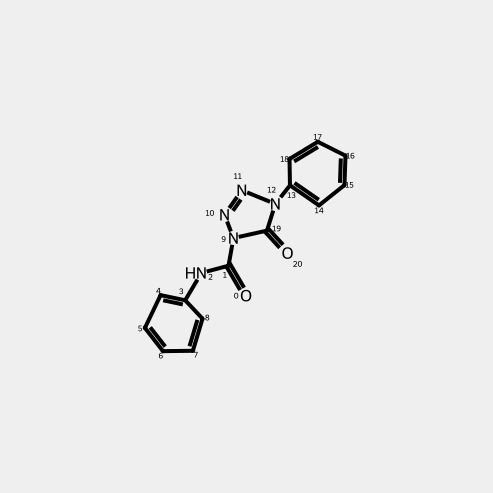 O=C(Nc1ccccc1)n1nnn(-c2ccccc2)c1=O